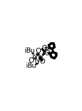 CCC(C)Cn1c(=O)n(CC(C)CC)c(=O)n(CC(C)P2(=O)Oc3ccccc3-c3ccccc32)c1=O